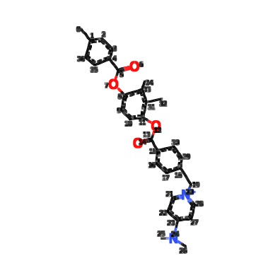 Cc1ccc(C(=O)Oc2ccc(OC(=O)c3ccc(C[n+]4ccc(N(C)C)cc4)cc3)c(C)c2C)cc1